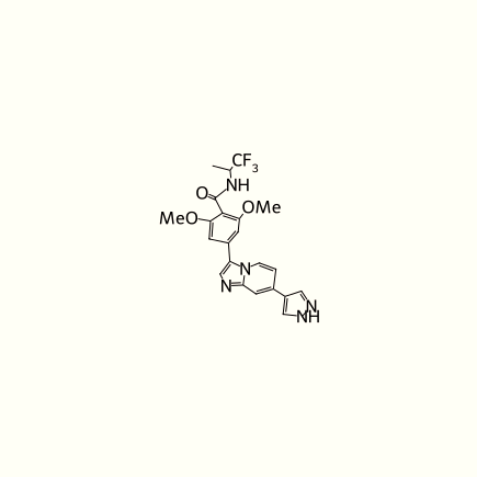 COc1cc(-c2cnc3cc(-c4cn[nH]c4)ccn23)cc(OC)c1C(=O)NC(C)C(F)(F)F